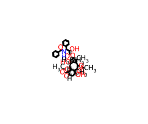 CC(=O)O[C@H]1C(=O)[C@@]2(C)[C@H](CC3(O)C[C@H](OC(=O)[C@H](O)C(NC(=O)c4ccccc4)c4ccccc4)C(C)=C1C3(C)C)[C@]1(OC(C)=O)CO[C@@H]1C[C@@H]2O